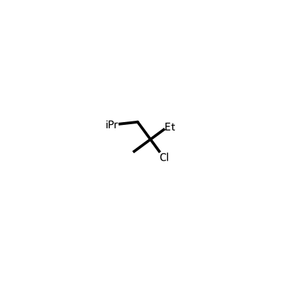 CCC(C)(Cl)CC(C)C